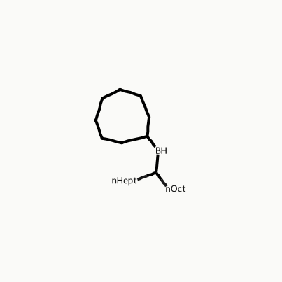 CCCCCCCCC(BC1CCCCCCC1)CCCCCCC